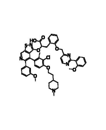 COc1cccc(-c2ncc3snc(O[C@H](Cc4ccccc4OCc4ccnc(-c5ccccc5OC)n4)C(=O)O)c3c2-c2ccc(OCCC3CCN(C)CC3)c(Cl)c2C)c1